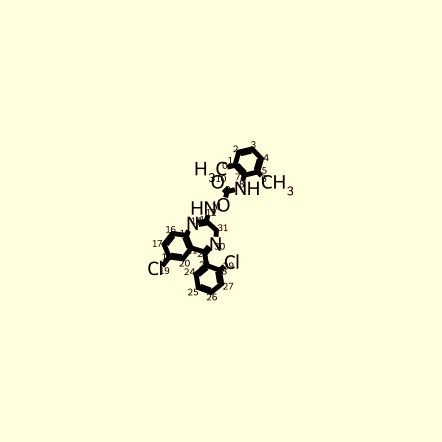 Cc1cccc(C)c1NC(=O)ONC1=Nc2ccc(Cl)cc2C(c2ccccc2Cl)=NC1